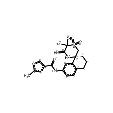 Cc1nc(C(=O)Nc2ccc3c(c2)[C@]2(CCC3)CS(=O)(=O)C(C)(C)C(=N)N2)co1